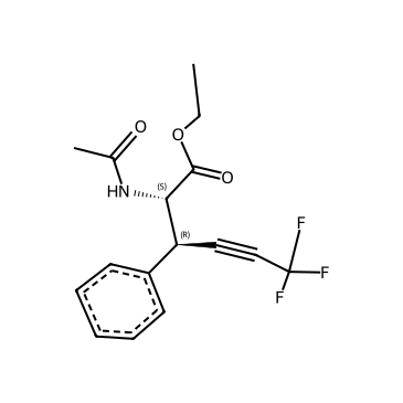 CCOC(=O)[C@@H](NC(C)=O)[C@@H](C#CC(F)(F)F)c1ccccc1